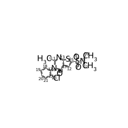 Cc1nc2sc(S(=O)(=O)N(C)C)cc2c(=O)n1-c1ccccc1Cl